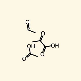 CC(=O)C(=O)O.CC(=O)O.CC=O